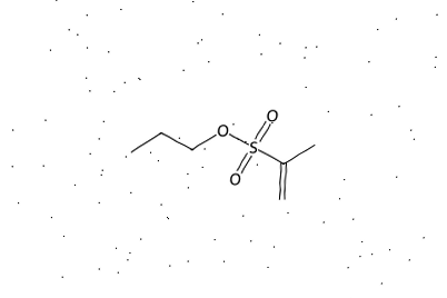 C=C(C)S(=O)(=O)OCCC